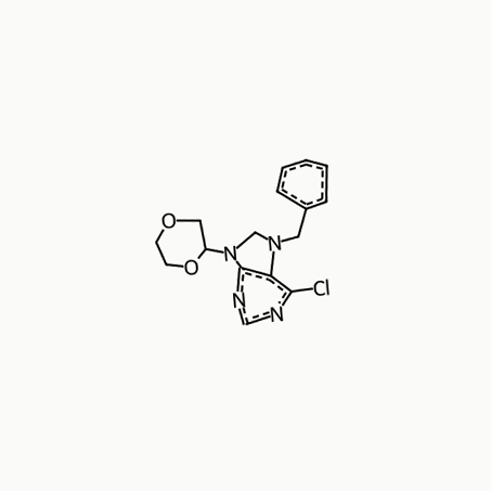 Clc1ncnc2c1N(Cc1ccccc1)CN2C1COCCO1